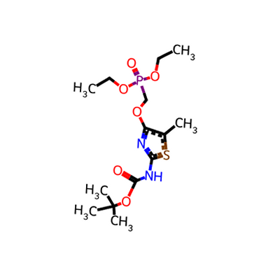 CCOP(=O)(COc1nc(NC(=O)OC(C)(C)C)sc1C)OCC